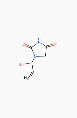 C=CC(Br)N1CC(=O)NC1=O